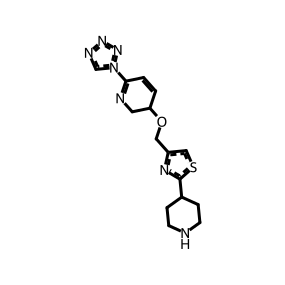 C1=CC(OCc2csc(C3CCNCC3)n2)CN=C1n1cnnn1